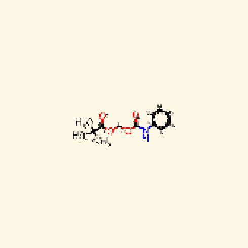 CC(C)(C)C(=O)OCOC(=O)Nc1ccccc1